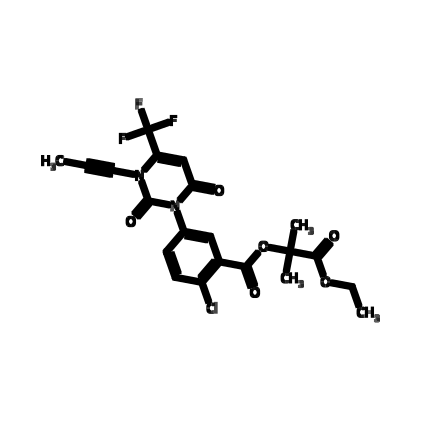 CC#Cn1c(C(F)(F)F)cc(=O)n(-c2ccc(Cl)c(C(=O)OC(C)(C)C(=O)OCC)c2)c1=O